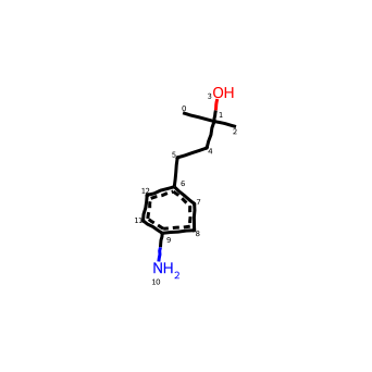 CC(C)(O)CCc1ccc(N)cc1